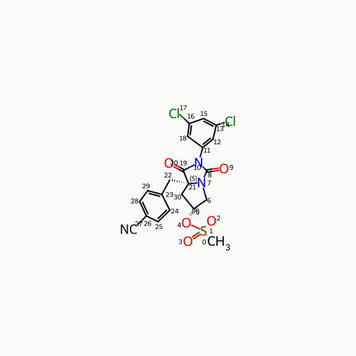 CS(=O)(=O)O[C@H]1CN2C(=O)N(c3cc(Cl)cc(Cl)c3)C(=O)[C@]2(Cc2ccc(C#N)cc2)C1